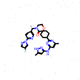 Cc1cc(Nc2cc(C)[nH]n2)nc(C2CCC3(CC2)OCCN([C@@H](C)c2ccc(-n4cc(F)cn4)nc2)C3=O)n1